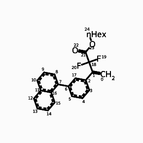 C=C(c1cccc(-c2cccc3ccccc23)c1)C(F)(F)C(=O)OCCCCCC